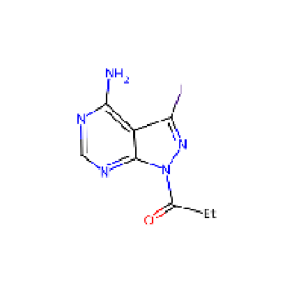 CCC(=O)n1nc(I)c2c(N)ncnc21